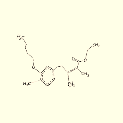 CCCCOc1cc(CC(C)=C(C)C(=O)OCC)ccc1C